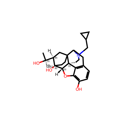 CC(C)(C)[C@@](C)(O)[C@H]1CC23CC[C@]1(O)[C@H]1Oc4c(O)ccc5c4[C@@]12CCN(CC1CC1)C3C5